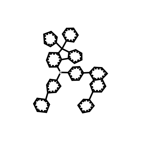 c1ccc(-c2ccc(N(c3ccc(-c4cccc5ccc(-c6ccccc6)cc45)cc3)c3cccc4c3-c3ccccc3C4(c3ccccc3)c3ccccc3)cc2)cc1